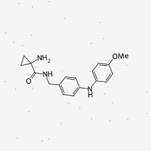 COc1ccc(Nc2ccc(CNC(=O)C3(N)CC3)cc2)cc1